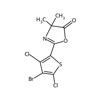 CC1(C)N=C(c2sc(Cl)c(Br)c2Cl)OC1=O